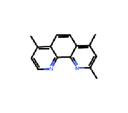 Cc1cc(C)c2ccc3c(C)ccnc3c2n1